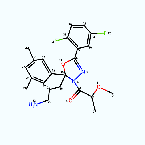 COC(C)C(=O)N1N=C(c2cc(F)ccc2F)OC1(CCCN)c1cc(C)cc(C)c1